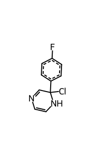 Fc1ccc(C2(Cl)C=NC=CN2)cc1